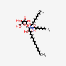 CCCCCCCCCCCCCC[C@@H](O)[C@@H](O)[C@H](CO[C@H]1O[C@H](CO)[C@H](O)[C@H](O)[C@H]1O)N(NC(=O)CCCCCCC)C(=O)CCCCCCCCCC